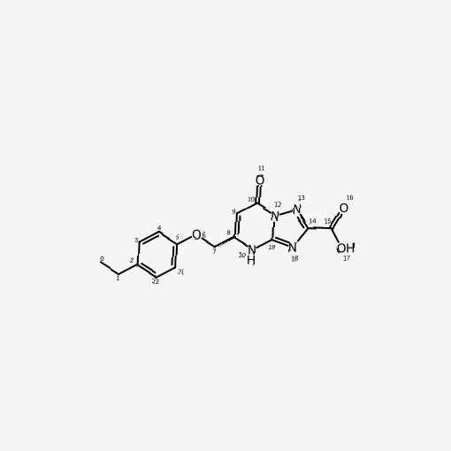 CCc1ccc(OCc2cc(=O)n3nc(C(=O)O)nc3[nH]2)cc1